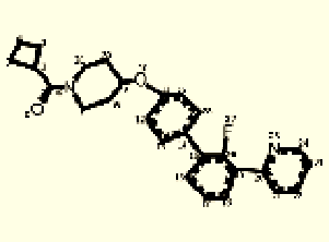 O=C(C1CCC1)N1CCC(Oc2ccc(-c3cccc(-c4ccccn4)c3F)cc2)CC1